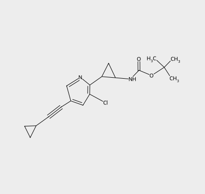 CC(C)(C)OC(=O)NC1CC1c1ncc(C#CC2CC2)cc1Cl